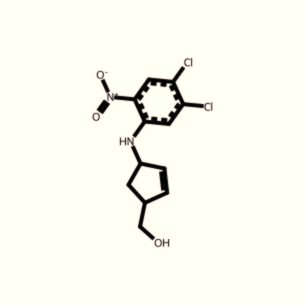 O=[N+]([O-])c1cc(Cl)c(Cl)cc1NC1C=CC(CO)C1